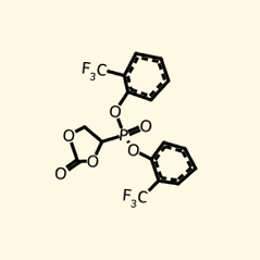 O=C1OCC(P(=O)(Oc2ccccc2C(F)(F)F)Oc2ccccc2C(F)(F)F)O1